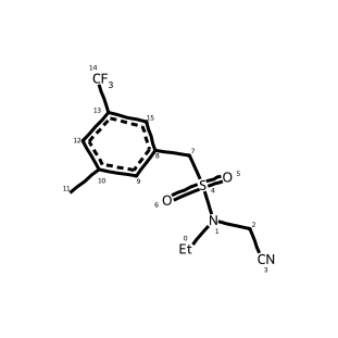 CCN(CC#N)S(=O)(=O)Cc1cc(C)cc(C(F)(F)F)c1